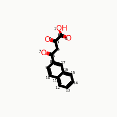 O=C(O)C(=O)CC(=O)c1ccc2ccccc2c1